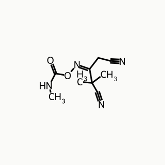 CNC(=O)ON=C(CC#N)C(C)(C)C#N